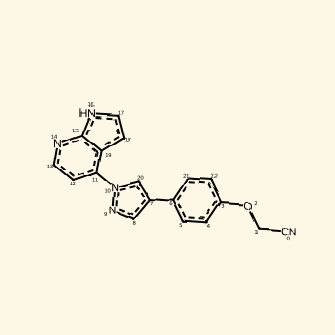 N#CCOc1ccc(-c2cnn(-c3ccnc4[nH]ccc34)c2)cc1